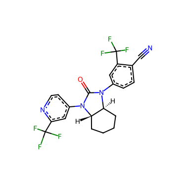 N#Cc1ccc(N2C(=O)N(c3ccnc(C(F)(F)F)c3)[C@H]3CCCC[C@@H]32)cc1C(F)(F)F